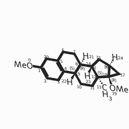 COC1=CCC2=C(CC[C@@H]3[C@@H]2CC[C@@]2(C)[C@H]3C[C@H]3C[C@@]32OC)C1